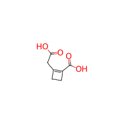 O=C(O)CC1=C(C(=O)O)CC1